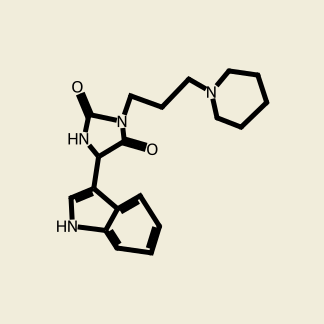 O=C1NC(c2c[nH]c3ccccc23)C(=O)N1CCCN1CCCCC1